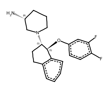 N[C@@H]1CCCN([C@H]2CCc3ccccc3[C@@H]2Oc2ccc(F)c(F)c2)C1